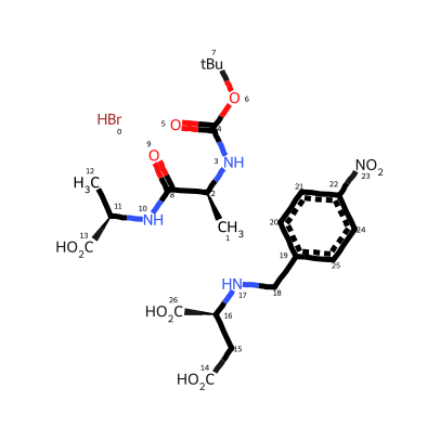 Br.C[C@H](NC(=O)OC(C)(C)C)C(=O)N[C@H](C)C(=O)O.O=C(O)C[C@H](NCc1ccc([N+](=O)[O-])cc1)C(=O)O